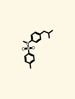 Cc1ccc(S(=O)(=O)N(C)c2ccc(CC(C)C)cc2)cc1